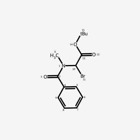 CN(C(=O)c1ccccc1)C(Br)C(=O)OC(C)(C)C